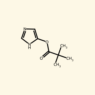 CC(C)(C)C(=O)Oc1cnc[nH]1